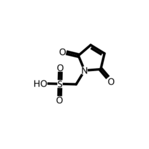 O=C1C=CC(=O)N1CS(=O)(=O)O